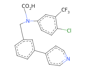 O=C(O)N(Cc1cccc(-c2ccncc2)c1)c1ccc(Cl)c(C(F)(F)F)c1